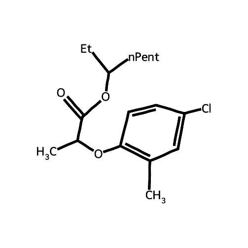 CCCCCC(CC)OC(=O)C(C)Oc1ccc(Cl)cc1C